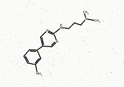 CN(C)CCCNc1ncc(-c2cccc(N)c2)cn1